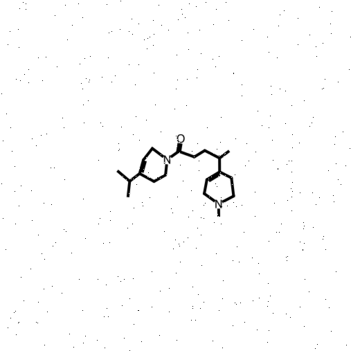 CC(C)C1=CCN(C(=O)CCC(C)C2=CCN(C)CC2)CC1